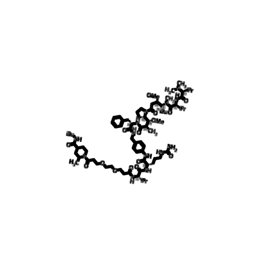 CCC(C)NC(=O)C1CCN(C(=O)CCOCCOCCC(=O)N[C@H](C(=O)N[C@@H](CCCNC(N)=O)C(=O)Nc2ccc(CNC(=O)[C@H](Cc3ccccc3)NC(=O)[C@H](C)[C@@H](OC)[C@@H]3CCCN3C(=O)C[C@@H](OC)[C@H]([C@@H](C)CC)N(C)C(=O)[C@@H](NC(=O)[C@H](C(C)C)N(C)C)C(C)C)cc2)C(C)C)C(C)C1